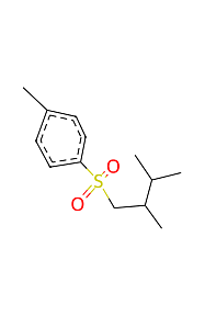 Cc1ccc(S(=O)(=O)CC(C)C(C)C)cc1